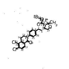 CC(C)(C)OC(=O)N1[C@@H](CCc2ccc(N3CCc4c(ccc(Cl)c4Cl)C3=O)cc2)COC1(C)C